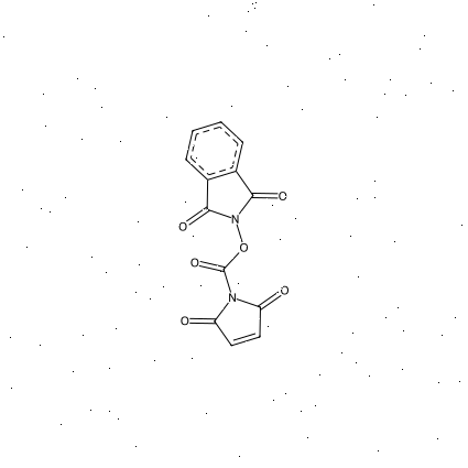 O=C1c2ccccc2C(=O)N1OC(=O)N1C(=O)C=CC1=O